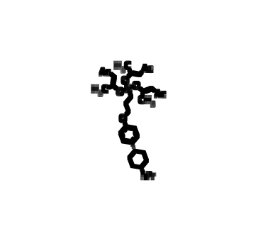 CCC[C@H]1CC[C@H](c2ccc(OCCC[Si](OC(C)=CC(C)=O)(OC(C)=CC(C)=O)OC(C)=CC(C)=O)cc2)CC1